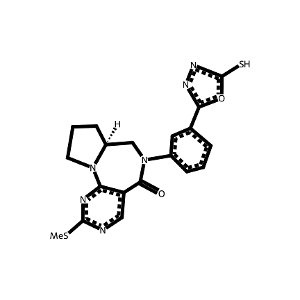 CSc1ncc2c(n1)N1CCC[C@H]1CN(c1cccc(-c3nnc(S)o3)c1)C2=O